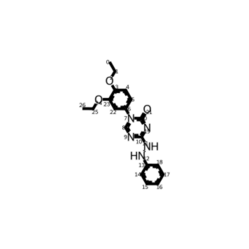 CCOc1ccc(-n2cnc(NNc3ccccc3)nc2=O)cc1OCC